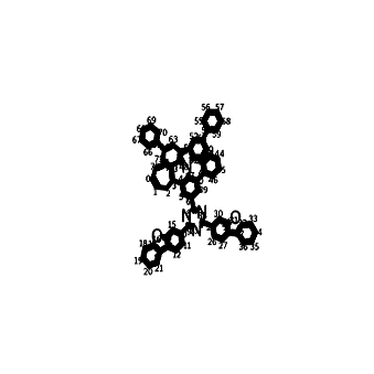 C1#CCC(c2cc(-c3nc(-c4ccc5c(c4)oc4ccccc45)nc(-c4ccc5c(c4)oc4ccccc45)n3)cc(-c3ccccc3)c2-n2c3c(c4cc(-c5ccccc5)ccc42)C=C(c2ccccc2)CC3)=CC=C1